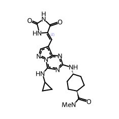 CNC(=O)[C@H]1CC[C@H](Nc2nc(NC3CC3)n3ncc(/C=C4\NC(=O)NC4=O)c3n2)CC1